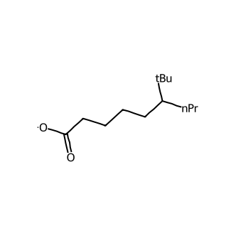 CCCC(CCCCC([O])=O)C(C)(C)C